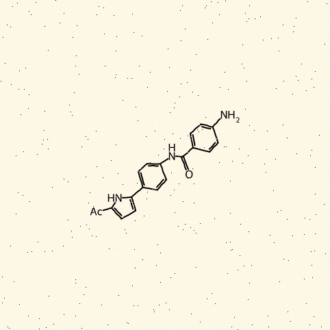 CC(=O)c1ccc(-c2ccc(NC(=O)c3ccc(N)cc3)cc2)[nH]1